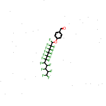 O=Cc1ccc(OC(F)C(F)(F)C(F)(F)C(F)(F)C(F)(F)C(F)(F)C(F)C(F)C(F)C(F)C(F)F)cc1